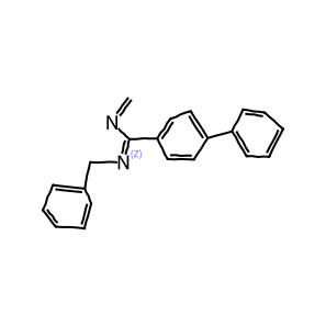 C=N/C(=N\Cc1ccccc1)c1ccc(-c2ccccc2)cc1